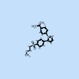 C=C(C)c1ccc(-n2nccc2-c2ccc(S(=O)(=O)CCOC)cc2)cc1